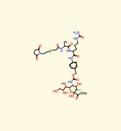 COC(=O)C1(O)O[C@@H]([C@H](O)[C@H](O)CO)[C@H](NC(=O)OCc2ccc(NC(=O)C(CCCNC(N)=O)NC(=O)C(NC(=O)CCCCCN3C(=O)CCC3=O)C(C)C)cc2)[C@@H](O)C1F